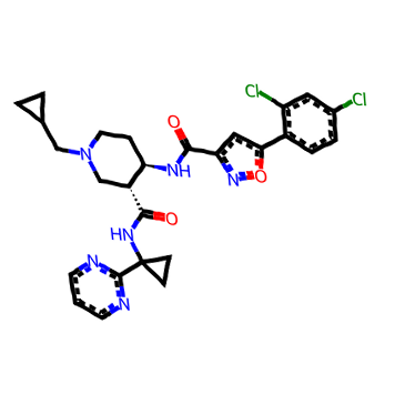 O=C(N[C@@H]1CCN(CC2CC2)C[C@H]1C(=O)NC1(c2ncccn2)CC1)c1cc(-c2ccc(Cl)cc2Cl)on1